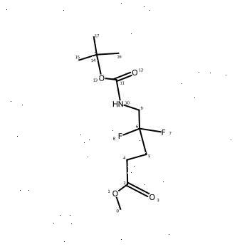 COC(=O)CCC(F)(F)CNC(=O)OC(C)(C)C